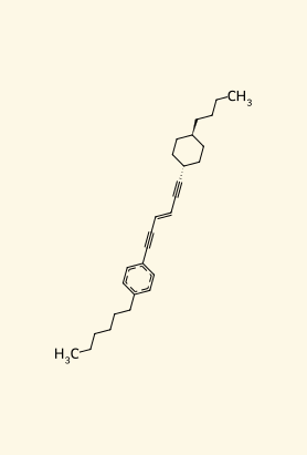 CCCCCCc1ccc(C#C/C=C/C#C[C@H]2CC[C@H](CCCC)CC2)cc1